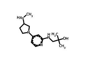 C[AsH]C1CCN(c2ccnc(NCC(C)(C)O)c2)C1